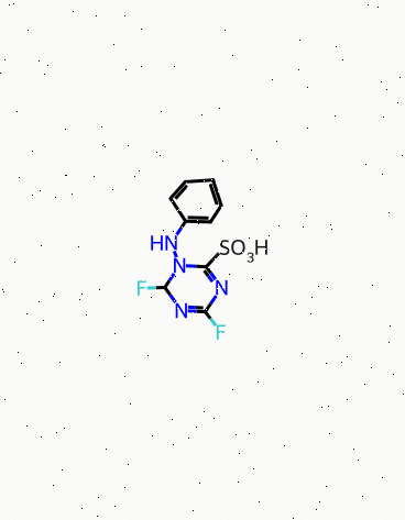 O=S(=O)(O)C1=NC(F)=NC(F)N1Nc1ccccc1